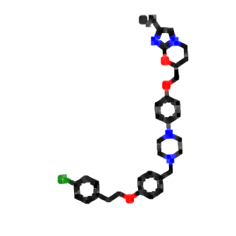 O=[N+]([O-])c1cn2c(n1)O[C@H](COc1ccc(N3CCN(Cc4ccc(OCCc5ccc(Cl)cc5)cc4)CC3)cc1)CC2